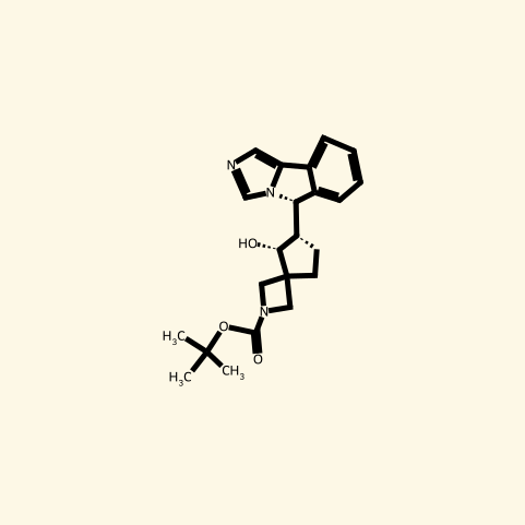 CC(C)(C)OC(=O)N1CC2(CC[C@@H]([C@H]3c4ccccc4-c4cncn43)[C@H]2O)C1